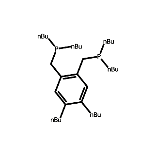 CCCCc1cc(CP(CCCC)CCCC)c(CP(CCCC)CCCC)cc1CCCC